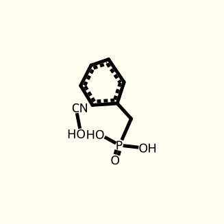 N#CO.O=P(O)(O)Cc1ccccc1